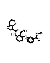 CC(C)OC(=O)c1cccc(NC2=C(C=N)C(NC(=O)c3noc4c3CCCC4)CCC2)c1